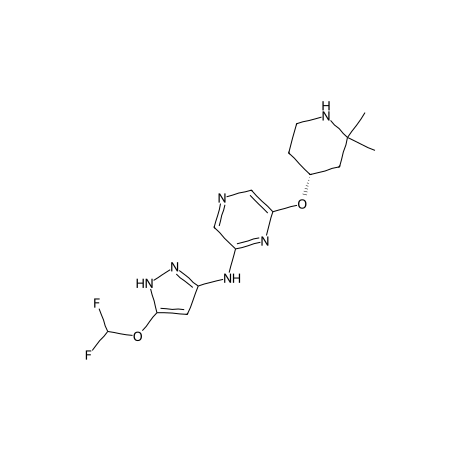 CC1(C)C[C@H](Oc2cncc(Nc3cc(OC(F)F)[nH]n3)n2)CCN1